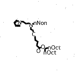 CCCCCCCCCN(CCCCCCCC(=O)OC(CCCCCCCC)CCCCCCCC)CCCn1cccc1